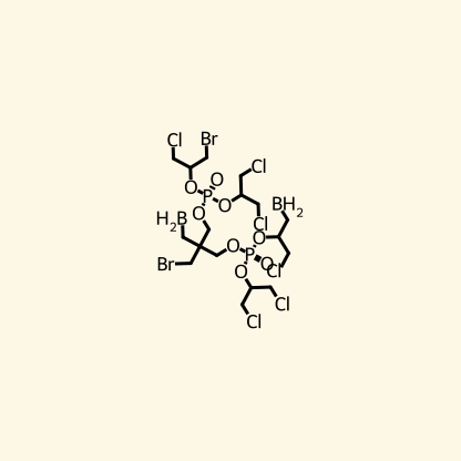 BCC(CCl)OP(=O)(OCC(CB)(CBr)COP(=O)(OC(CCl)CCl)OC(CCl)CBr)OC(CCl)CCl